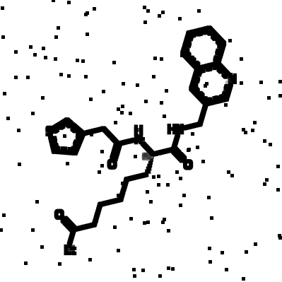 CCC(=O)CCCCC[C@H](NC(=O)Cc1ccsc1)C(=O)NCc1cnc2ccccc2c1